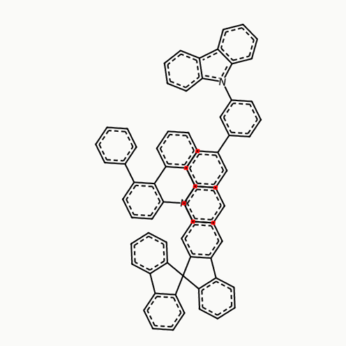 c1ccc(-c2ccccc2-c2c(-c3ccccc3)cccc2N(c2ccc(-c3cccc(-n4c5ccccc5c5ccccc54)c3)cc2)c2ccc3c(c2)C2(c4ccccc4-c4ccccc42)c2ccccc2-3)cc1